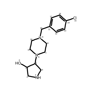 OC1CNCC1N1CCN(Cc2ccc(Cl)cc2)CC1